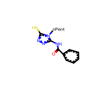 CCCCCn1c(S)nnc1NC(=O)c1ccccc1